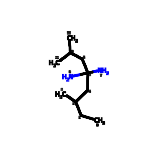 CCC(C)CC(N)(N)CC(C)C